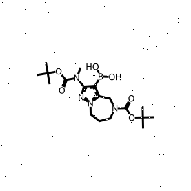 CN(C(=O)OC(C)(C)C)c1nn2c(c1B(O)O)CN(C(=O)OC(C)(C)C)CCC2